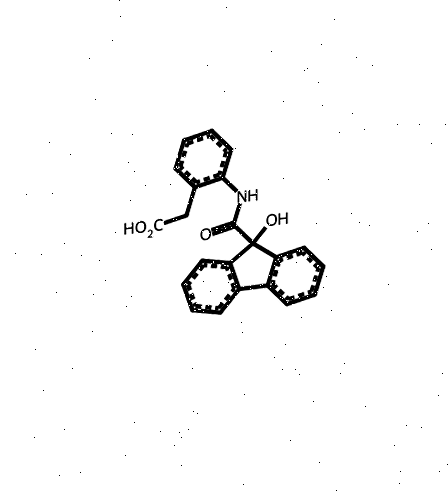 O=C(O)Cc1ccccc1NC(=O)C1(O)c2ccccc2-c2ccccc21